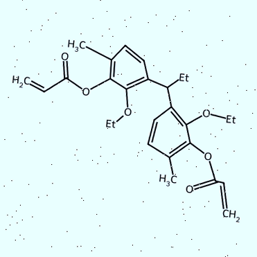 C=CC(=O)Oc1c(C)ccc(C(CC)c2ccc(C)c(OC(=O)C=C)c2OCC)c1OCC